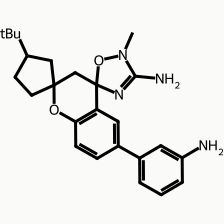 CN1OC2(CC3(CCC(C(C)(C)C)C3)Oc3ccc(-c4cccc(N)c4)cc32)N=C1N